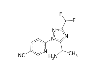 CC(N)c1nc(C(F)F)nn1-c1ccc(C#N)cn1